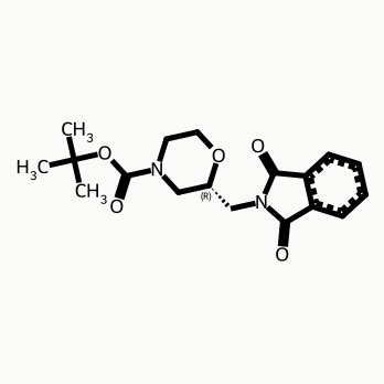 CC(C)(C)OC(=O)N1CCO[C@H](CN2C(=O)c3ccccc3C2=O)C1